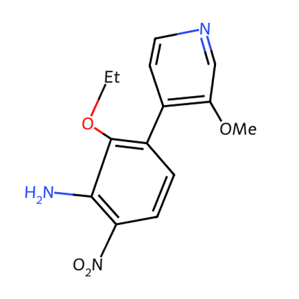 CCOc1c(-c2ccncc2OC)ccc([N+](=O)[O-])c1N